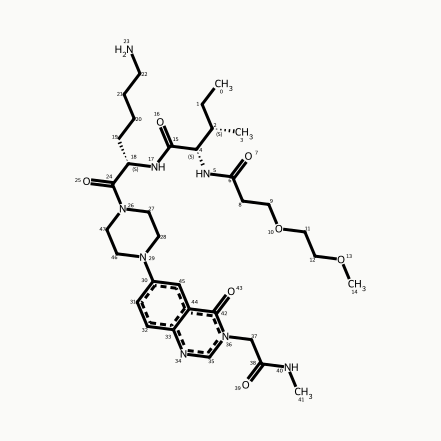 CC[C@H](C)[C@H](NC(=O)CCOCCOC)C(=O)N[C@@H](CCCCN)C(=O)N1CCN(c2ccc3ncn(CC(=O)NC)c(=O)c3c2)CC1